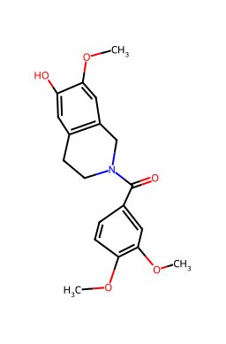 COc1cc2c(cc1O)CCN(C(=O)c1ccc(OC)c(OC)c1)C2